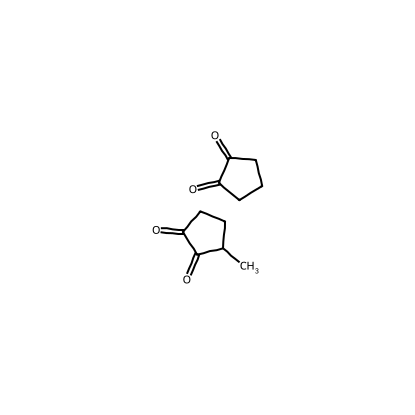 CC1CCC(=O)C1=O.O=C1CCCC1=O